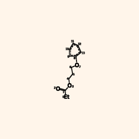 CCC(=O)OCCCOc1ccccc1